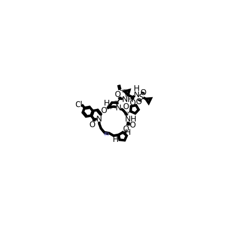 C=C[C@@H]1C[C@]1(NC(=O)[C@@H]1C[C@@H]2CN1C(=O)[C@H](C1CCCC1)NC(=O)O[C@@H]1CCC[C@H]1C/C=C/CCn1c(cc3cc(Cl)ccc3c1=O)O2)C(=O)NS(=O)(=O)C1CC1